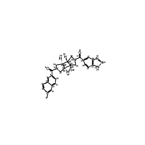 Cc1ccc2cc(C(=O)N3C[C@@H]4[C@H](C3)[C@H]3CN(C(=O)c5ccc6[nH]nnc6c5)C[C@@H]43)ccc2c1